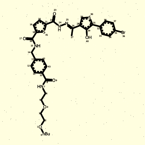 CCCCOCCOCCNC(=O)c1ccc(CNC(=O)c2ccc(C(=O)N/N=C(\C)c3csc(-c4ccc(Br)cc4)c3O)s2)cc1